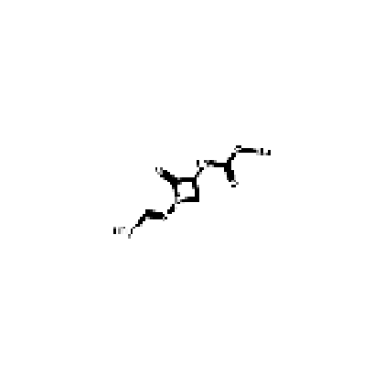 CC(C)(C)OC(=O)N[C@H]1CN(N=CC(=O)O)C1=O